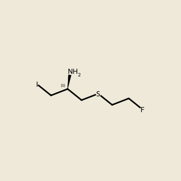 N[C@H](CI)CSCCF